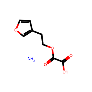 N.O=C(O)C(=O)OCCc1ccoc1